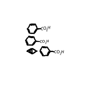 C1C23CC12C3.O=C(O)c1ccccc1.O=C(O)c1ccccc1.O=C(O)c1ccccc1